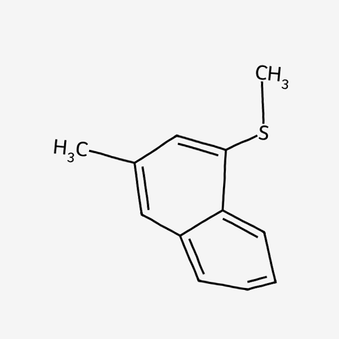 CSc1cc(C)cc2ccccc12